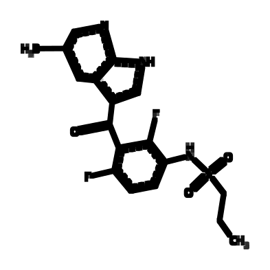 Bc1cnc2[nH]cc(C(=O)c3c(F)ccc(NS(=O)(=O)CCC)c3F)c2c1